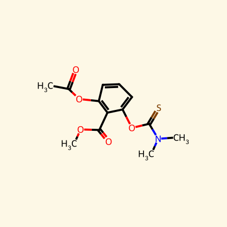 COC(=O)c1c(OC(C)=O)cccc1OC(=S)N(C)C